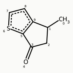 CC1CC(=O)c2sccc21